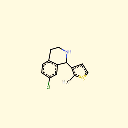 Cc1sccc1C1NCCc2ccc(Cl)cc21